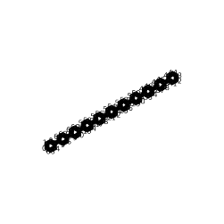 [c]1ccc(-c2ccc(-c3ccc(-c4ccc(-c5ccc(-c6ccc(-c7ccc(-c8ccc(-c9ccc(-c%10ccc(-c%11ccccc%11)cc%10)cc9)cc8)cc7)cc6)cc5)cc4)cc3)cc2)cc1